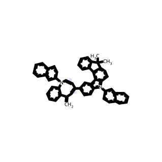 C=C1/C=C(c2ccc3c(c2)c2c4c(ccc2n3-c2ccc3ccccc3c2)C(C)(C)c2ccccc2-4)\C=C/N(c2ccc3ccccc3c2)c2ccccc21